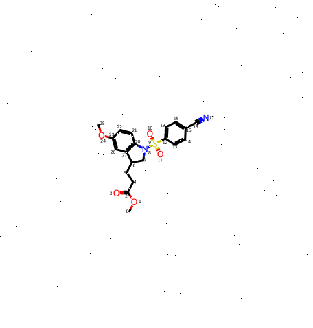 COC(=O)CCC1CN(S(=O)(=O)c2ccc(C#N)cc2)c2ccc(OC)cc21